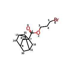 O=C(OCCCBr)C12CC3CC(CC(C3)C1)C2